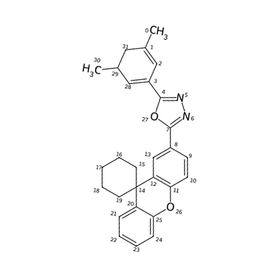 CC1=CC(c2nnc(-c3ccc4c(c3)C3(CCCCC3)c3ccccc3O4)o2)=CC(C)C1